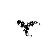 CCOC(=O)c1cnc2c(N(C)Cc3ccc(OC)cc3)cc(Nc3cccn(-c4ccccn4)c3=O)nn12